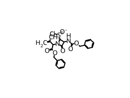 C=C(C)C(C(=O)OCc1ccccc1)N1C(=O)C(NC(=O)OCc2ccccc2)C1[S+]([O-])Cl